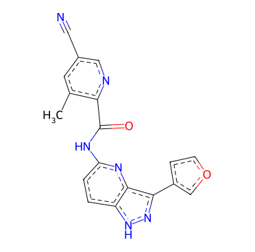 Cc1cc(C#N)cnc1C(=O)Nc1ccc2[nH]nc(-c3ccoc3)c2n1